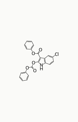 O=C(Oc1ccccc1)Oc1[nH]c2ccc(Cl)cc2c1C(=O)Oc1ccccc1